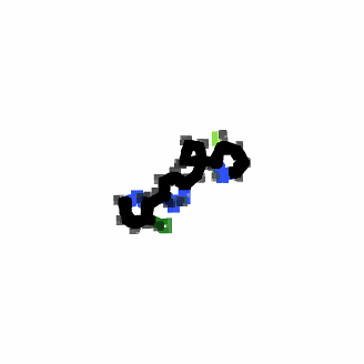 Fc1cccnc1C1(Cc2ccc(-c3ncccc3Cl)nn2)CCC1